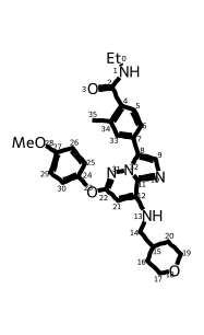 CCNC(=O)c1ccc(-c2cnc3c(NCC4CCOCC4)cc(Oc4ccc(OC)cc4)nn23)cc1C